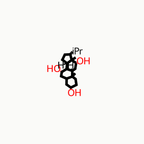 CC(C)C1CC[C@H]2C3[C@H](O)CC4C[C@H](O)CCC4(C)[C@H]3CC(O)C12C